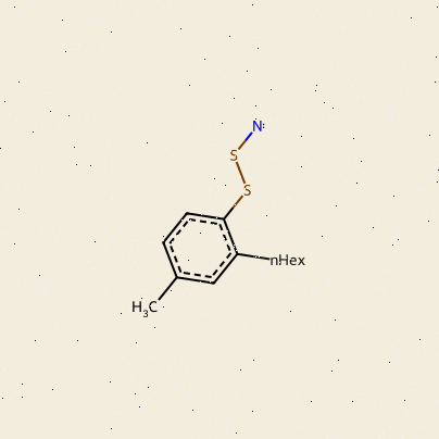 CCCCCCc1cc(C)ccc1SS[N]